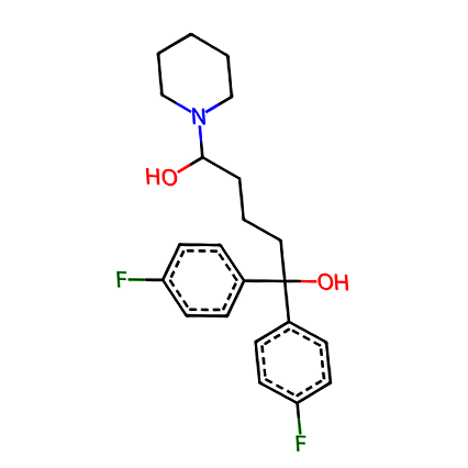 OC(CCCC(O)(c1ccc(F)cc1)c1ccc(F)cc1)N1CCCCC1